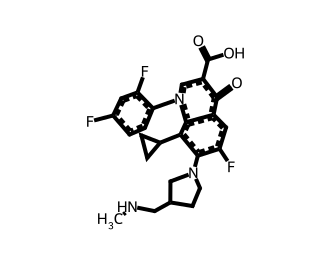 CNCC1CCN(c2c(F)cc3c(=O)c(C(=O)O)cn(-c4ccc(F)cc4F)c3c2C2CC2)C1